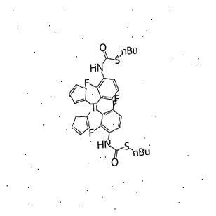 CCCCSC(=O)Nc1ccc(F)[c]([Ti]([C]2=CC=CC2)([C]2=CC=CC2)[c]2c(F)ccc(NC(=O)SCCCC)c2F)c1F